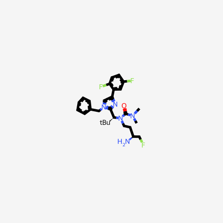 CN(C)C(=O)N(CC[C@H](N)CF)[C@@H](c1nc(-c2cc(F)ccc2F)cn1Cc1ccccc1)C(C)(C)C